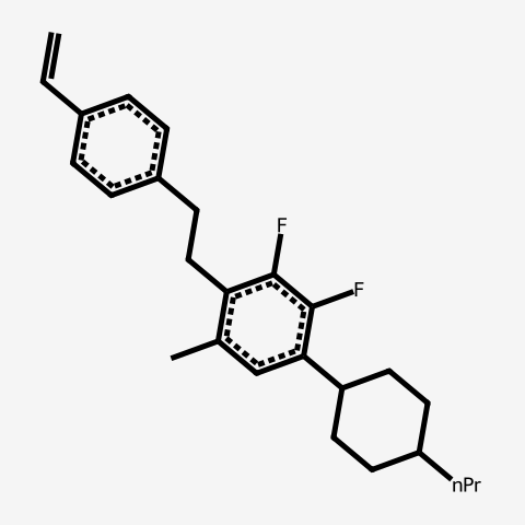 C=Cc1ccc(CCc2c(C)cc(C3CCC(CCC)CC3)c(F)c2F)cc1